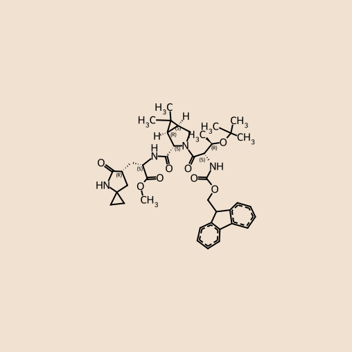 COC(=O)[C@H](C[C@@H]1CC2(CC2)NC1=O)NC(=O)[C@@H]1[C@@H]2[C@H](CN1C(=O)[C@@H](NC(=O)OCC1c3ccccc3-c3ccccc31)[C@@H](C)OC(C)(C)C)C2(C)C